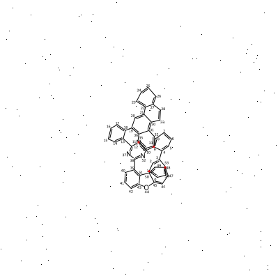 c1ccc(-c2ccccc2-c2nc(-c3ccccc3-c3cc4c5ccccc5ccc4c4ccccc34)nc(-c3cccc4oc5ccccc5c34)n2)cc1